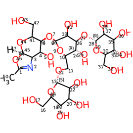 CC1=NC2C(O)[C@H](O[C@@H]3OC(CO[C@H]4OC(CO)[C@@H](O)C(O)C4O)[C@@H](O)C(O[C@H]4OC(CO)[C@@H](O)C(O)C4O)C3O)C(CO)O[C@@H]2O1